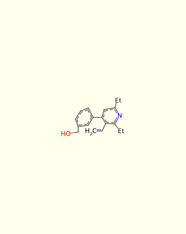 C=Cc1c(-c2cccc(CO)c2)cc(CC)nc1CC